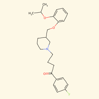 CC(C)Oc1ccccc1OCC1CCCN(CCCC(=O)c2ccc(F)cc2)C1